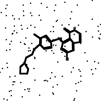 Cc1cc(Nc2nc(Cl)cc3cc[nH]c(=O)c23)ccc1OCCN1CCCC1